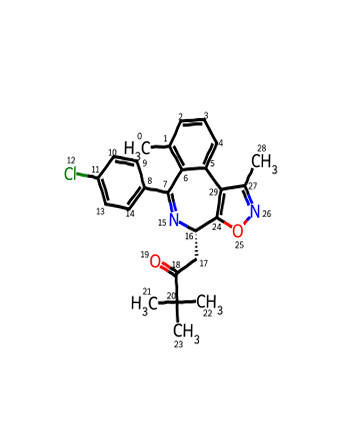 Cc1cccc2c1C(c1ccc(Cl)cc1)=N[C@@H](CC(=O)C(C)(C)C)c1onc(C)c1-2